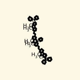 CC1(C)c2cc(/C=C/c3ccc4c(c3)N(c3ccccc3)c3cc(/C=C/c5ccc6c(c5)C(C)(C)c5cc(N(c7ccccc7)c7ccccc7)ccc5-6)ccc3C4(C)C)ccc2-c2ccc(N(c3ccccc3)c3ccccc3)cc21